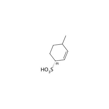 CC1C=C[C@H](S(=O)(=O)O)CC1